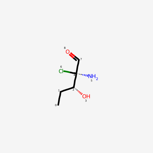 CC[C@@H](O)[C@@](N)(Cl)C=O